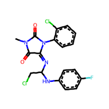 CN1C(=O)C(=NC(CCl)Nc2ccc(F)cc2)N(c2ccccc2Cl)C1=O